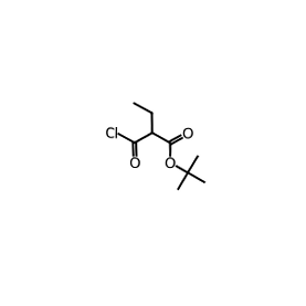 CCC(C(=O)Cl)C(=O)OC(C)(C)C